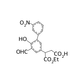 CCOC(=O)C(CC(=O)O)c1cc(C=O)c(O)c(-c2cccc([N+](=O)[O-])c2)c1